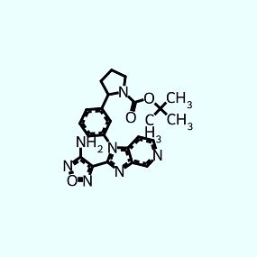 CC(C)(C)OC(=O)N1CCCC1c1cccc(-n2c(-c3nonc3N)nc3cnccc32)c1